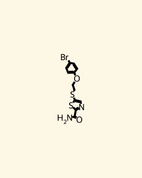 NC(=O)c1ncc(SCCOc2ccc(Br)cc2)s1